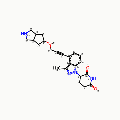 Cc1nn(C2CCC(=O)NC2=O)c2cccc(C#CCOC3CC4CNCC4C3)c12